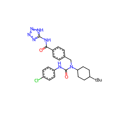 CC(C)(C)C1CCC(N(Cc2ccc(C(=O)Nc3nnn[nH]3)cc2)C(=O)Nc2ccc(Cl)cc2)CC1